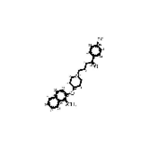 Cc1c(OC2CCN(CCCC(=O)c3ccc(F)cc3)CC2)ccc2ccccc12